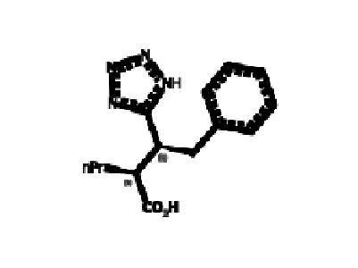 CCC[C@H](C(=O)O)[C@H](Cc1ccccc1)c1nnn[nH]1